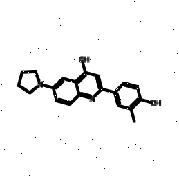 Cc1cc(-c2cc(O)c3cc(N4CCCC4)ccc3n2)ccc1O